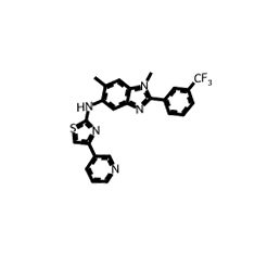 Cc1cc2c(cc1Nc1nc(-c3cccnc3)cs1)nc(-c1cccc(C(F)(F)F)c1)n2C